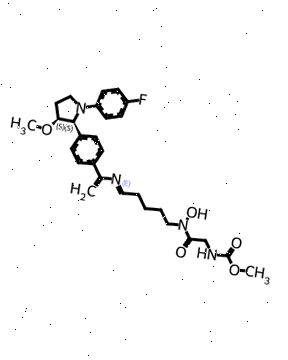 C=C(/N=C/CCCCN(O)C(=O)CNC(=O)OC)c1ccc([C@H]2[C@@H](OC)CCN2c2ccc(F)cc2)cc1